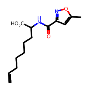 C=CCCCCCC(NC(=O)c1cc(C)on1)C(=O)O